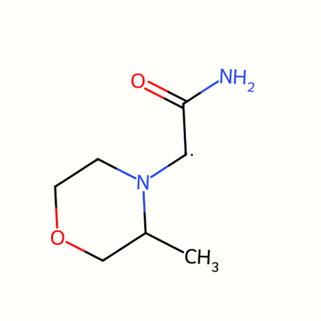 CC1COCCN1[CH]C(N)=O